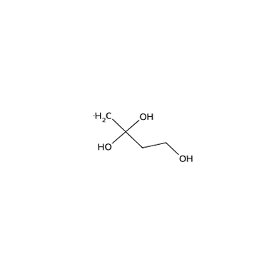 [CH2]C(O)(O)CCO